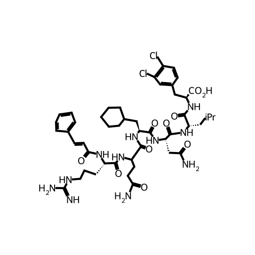 CC(C)C[C@H](NC(=O)[C@H](CC(N)=O)NC(=O)[C@H](CC1CCCCC1)NC(=O)C(CCC(N)=O)NC(=O)[C@H](CCCNC(=N)N)NC(=O)/C=C/c1ccccc1)C(=O)N[C@@H](Cc1ccc(Cl)c(Cl)c1)C(=O)O